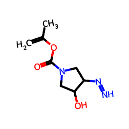 C=C(C)OC(=O)N1CC(O)C(N=N)C1